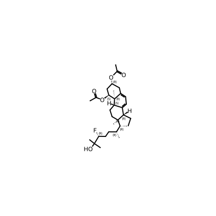 CC(=O)O[C@@H]1CC2=CC=C3[C@@H]4CC[C@H]([C@H](C)CC[C@@H](F)C(C)(C)O)[C@@]4(C)CC[C@@H]3[C@@]2(C)[C@@H](OC(C)=O)C1